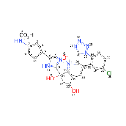 O=C(O)Nc1ccc(-c2cnc(C3(O)CC(O)c4cc(-c5cc(Cl)ccc5-n5cnnn5)c[n+]([O-])c43)[nH]2)cc1